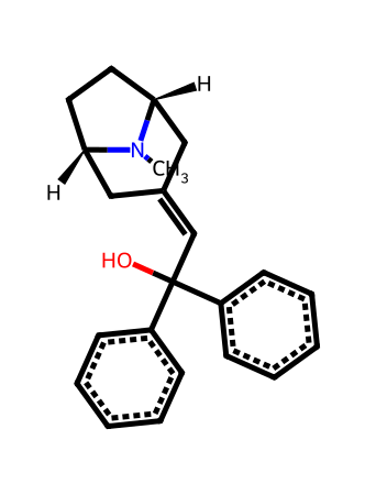 CN1[C@@H]2CC[C@H]1C/C(=C\C(O)(c1ccccc1)c1ccccc1)C2